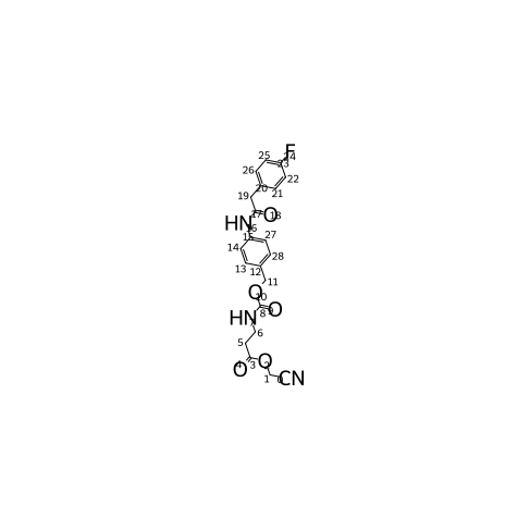 N#CCOC(=O)CCNC(=O)OCc1ccc(NC(=O)Cc2ccc(F)cc2)cc1